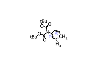 C/C=C\C(=C/C)N(C(=O)OC(C)(C)C)C(=O)OC(C)(C)C